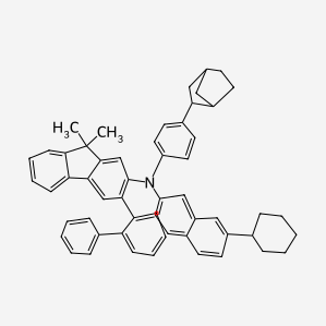 CC1(C)c2ccccc2-c2cc(-c3ccccc3-c3ccccc3)c(N(c3ccc(C4CC5CCC4C5)cc3)c3ccc4ccc(C5CCCCC5)cc4c3)cc21